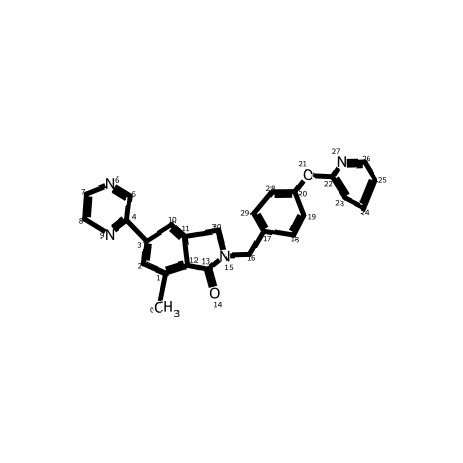 Cc1cc(-c2cnccn2)cc2c1C(=O)N(Cc1ccc(Oc3ccccn3)cc1)C2